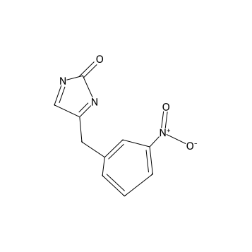 O=C1N=CC(Cc2cccc([N+](=O)[O-])c2)=N1